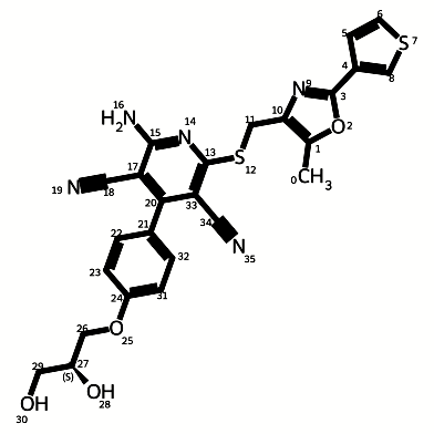 Cc1oc(-c2ccsc2)nc1CSc1nc(N)c(C#N)c(-c2ccc(OC[C@@H](O)CO)cc2)c1C#N